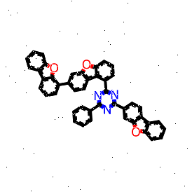 c1ccc(-c2nc(-c3ccc4c(c3)oc3ccccc34)nc(-c3cccc4oc5cc(-c6cccc7c6oc6ccccc67)ccc5c34)n2)cc1